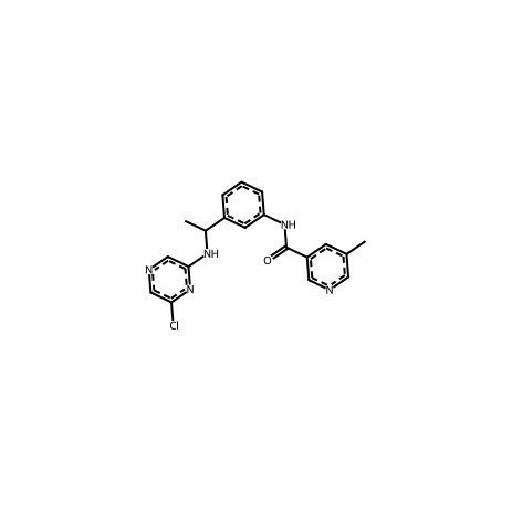 Cc1cncc(C(=O)Nc2cccc(C(C)Nc3cncc(Cl)n3)c2)c1